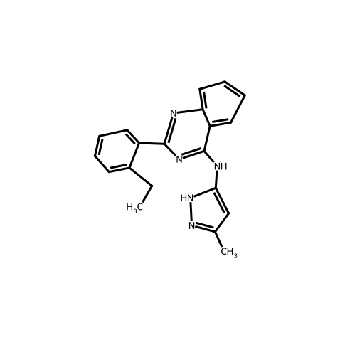 CCc1ccccc1-c1nc(Nc2cc(C)n[nH]2)c2ccccc2n1